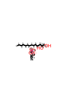 CCCCCCCCCCCCC(O)CO.O=P([O-])([O-])[O-].[K+].[K+].[K+]